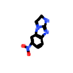 O=[N+]([O-])c1ccc2nc3n(c2c1)CCN3